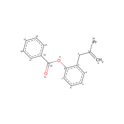 C=C(Cc1ccccc1OC(=O)c1ccccc1)C(C)C